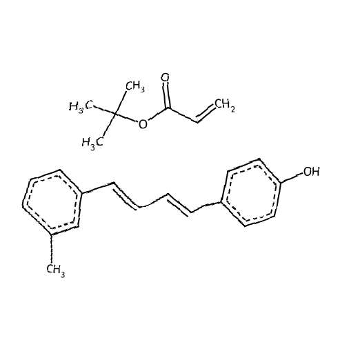 C=CC(=O)OC(C)(C)C.Cc1cccc(C=CC=Cc2ccc(O)cc2)c1